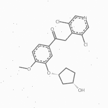 COc1ccc(C(=O)Cc2c(Cl)cncc2Cl)cc1O[C@@H]1CC[C@H](O)C1